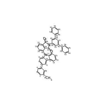 Cc1cccc(-c2ccc3c(c2)c2ccccc2n3-c2cccc3c2C(=O)N(c2cc(-c4ccccc4)cc(-c4ccccc4)c2)C3=O)c1